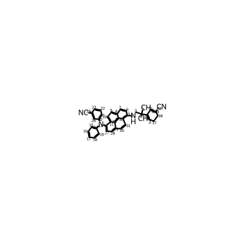 CC(C)(CNc1ccc2ccc3c(N(c4ccccc4)c4cccc(C#N)c4)ccc4ccc1c2c43)C1=CCCC(C#N)=C1